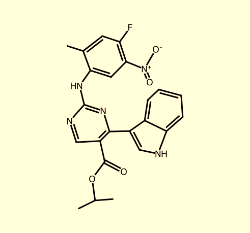 Cc1cc(F)c([N+](=O)[O-])cc1Nc1ncc(C(=O)OC(C)C)c(-c2c[nH]c3ccccc23)n1